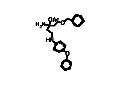 CC(=O)OC(N)(CCNc1ccc(Oc2ccccc2)cc1)CCOCc1ccccc1